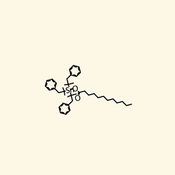 CCCCCCCCCCCC(=O)[O][Sn]([C](C)(C)Cc1ccccc1)([C](C)(C)Cc1ccccc1)[C](C)(C)Cc1ccccc1